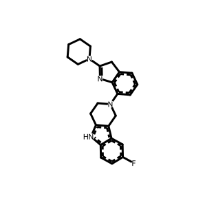 Fc1ccc2[nH]c3c(c2c1)CN(c1cccc2c1N=C(N1CCCCC1)C2)CC3